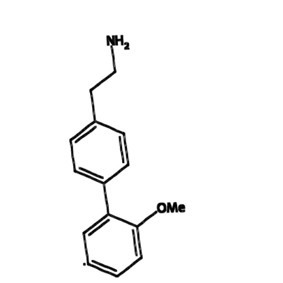 COc1cc[c]cc1-c1ccc(CCN)cc1